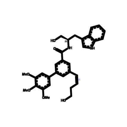 COc1cc(-c2cc(/C=C\CCO)cc(C(=O)N[C@@H](CO)Cc3c[nH]c4ccccc34)c2)cc(OC)c1OC